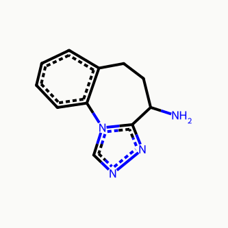 NC1CCc2ccccc2-n2cnnc21